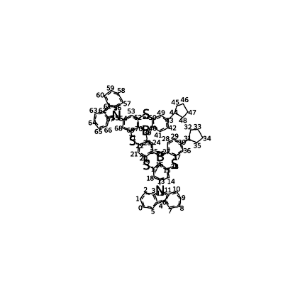 c1ccc2c(c1)c1ccccc1n2-c1cc2c3c(c1)Sc1cc4c(cc1B3c1ccc(C3CCCC3)cc1S2)B1c2ccc(C3CCCC3)cc2Sc2cc(-n3c5ccccc5c5ccccc53)cc(c21)S4